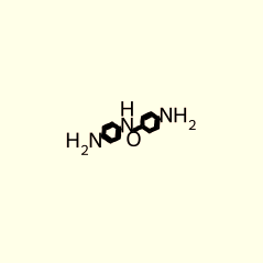 NC1=CCC(C(=O)Nc2ccc(N)cc2)C=C1